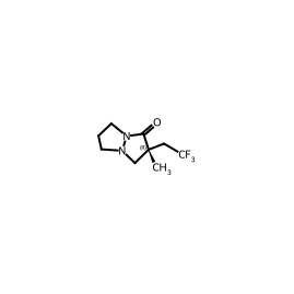 C[C@@]1(CC(F)(F)F)CN2CCCN2C1=O